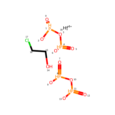 O=[PH]([O-])O[PH](=O)[O-].O=[PH]([O-])O[PH](=O)[O-].OCCCl.[Hf+4]